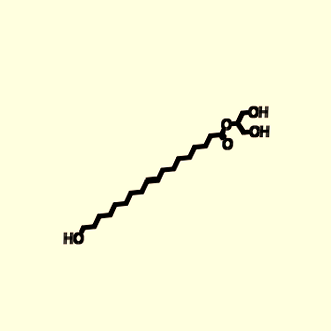 O=C(CCCCCCC/C=C/CCCCCCCCO)OC(CO)CO